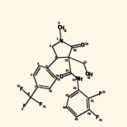 CN1CC(c2ccc(C(F)(F)F)cc2)C(CO)(C(=O)Nc2cccc(F)c2F)C1=O